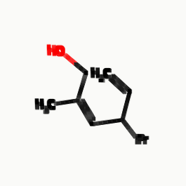 C=CC(C=C(C)CO)C(C)C